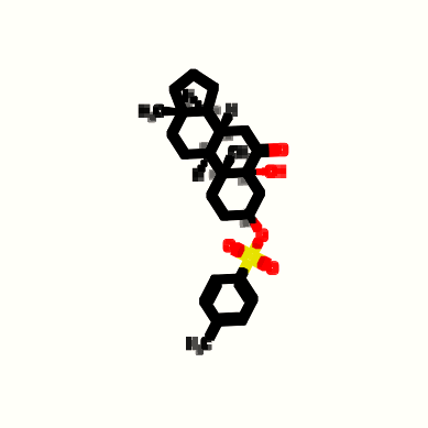 Cc1ccc(S(=O)(=O)O[C@H]2CC[C@]3(C)[C@H]4CC[C@]5(C)CCC[C@H]5[C@@H]4CC(=O)[C@@]3(O)C2)cc1